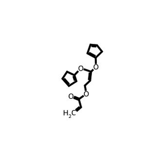 C=CC(=O)OCC=C(OC1=CC=CC1)OC1=CC=CC1